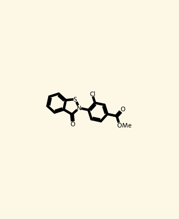 COC(=O)c1ccc(-n2sc3ccccc3c2=O)c(Cl)c1